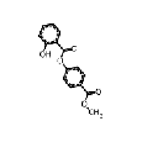 COC(=O)c1ccc(OC(=O)c2ccccc2O)cc1